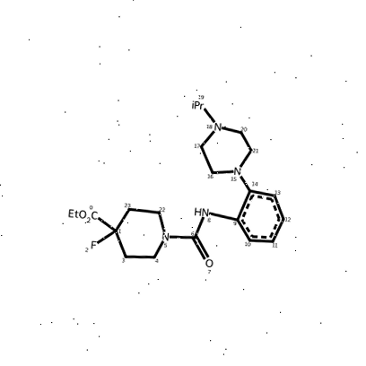 CCOC(=O)C1(F)CCN(C(=O)Nc2ccccc2N2CCN(C(C)C)CC2)CC1